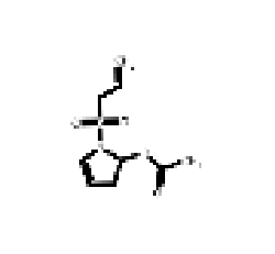 C=CCS(=O)(=O)N1C=CCC1OC(C)=O